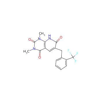 Cn1c(=O)c2cc(Cc3ccccc3C(F)(F)F)c(=O)[nH]c2n(C)c1=O